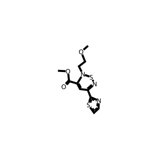 COCCN1SN=C(c2nccs2)C=C1C(=O)OC